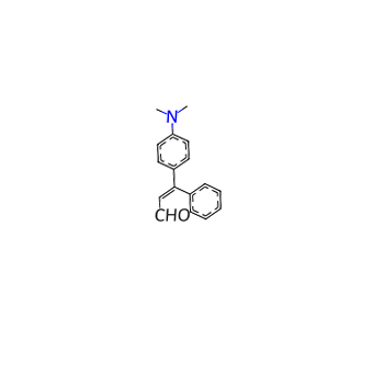 CN(C)c1ccc(C(=CC=O)c2ccccc2)cc1